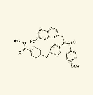 COc1ccc(C(=O)N(Cc2ccc3ccc(C#N)cc3c2)c2ccc(OC3CCN(C(=O)OC(C)(C)C)CC3)cc2)cc1